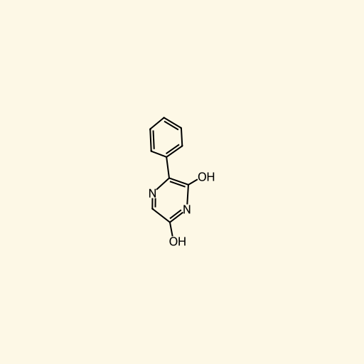 Oc1cnc(-c2ccccc2)c(O)n1